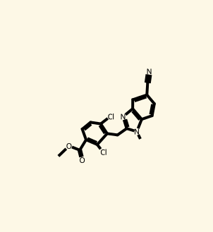 COC(=O)c1ccc(Cl)c(Cc2nc3cc(C#N)ccc3n2C)c1Cl